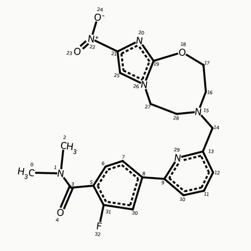 CN(C)C(=O)c1ccc(-c2cccc(CN3CCOc4nc([N+](=O)[O-])cn4CC3)n2)cc1F